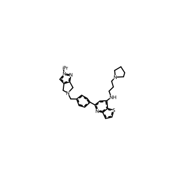 CC(C)n1cc2c(n1)CN(Cc1ccc(-c3cc(NCCCN4CCCC4)c4sccc4n3)cc1)C2